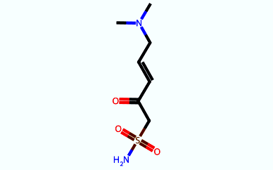 CN(C)CC=CC(=O)CS(N)(=O)=O